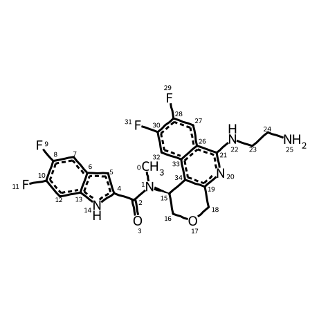 CN(C(=O)c1cc2cc(F)c(F)cc2[nH]1)[C@@H]1COCc2nc(NCCN)c3cc(F)c(F)cc3c21